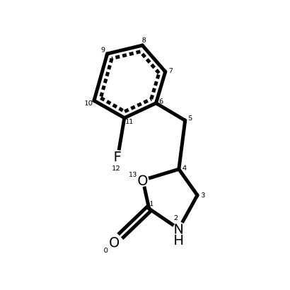 O=C1NCC(Cc2ccccc2F)O1